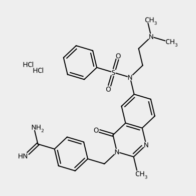 Cc1nc2ccc(N(CCN(C)C)S(=O)(=O)c3ccccc3)cc2c(=O)n1Cc1ccc(C(=N)N)cc1.Cl.Cl